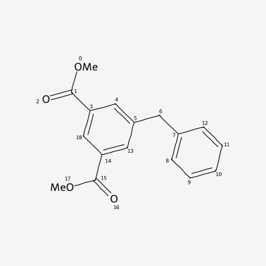 COC(=O)c1cc(Cc2ccccc2)cc(C(=O)OC)c1